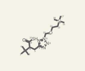 CC(C)(C)C(Cc1nnn(COCC[Si](C)(C)C)n1)C(=O)S